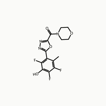 Cc1c(F)c(F)c(O)c(F)c1-c1nnc(C(=O)N2CCOCC2)o1